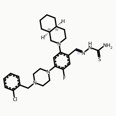 NC(=S)N/N=C/c1cc(F)c(N2CCN(Cc3ccccc3Cl)CC2)cc1N1CC[C@@H]2CCCC[C@@H]2C1